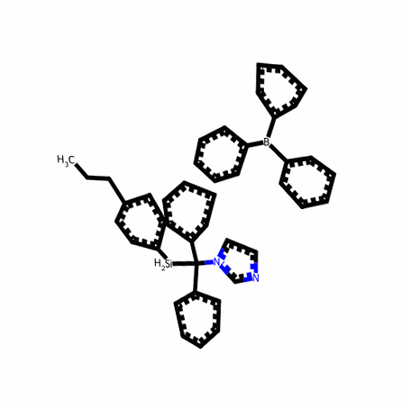 CCCc1ccc([SiH2]C(c2ccccc2)(c2ccccc2)n2ccnc2)cc1.c1ccc(B(c2ccccc2)c2ccccc2)cc1